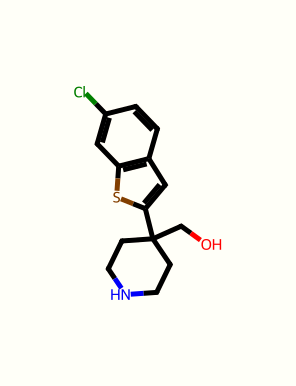 OCC1(c2cc3ccc(Cl)cc3s2)CCNCC1